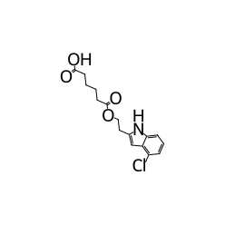 O=C(O)CCCCC(=O)OCCc1cc2c(Cl)cccc2[nH]1